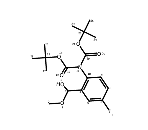 COC(O)c1cc(I)ccc1N(C(=O)OC(C)(C)C)C(=O)OC(C)(C)C